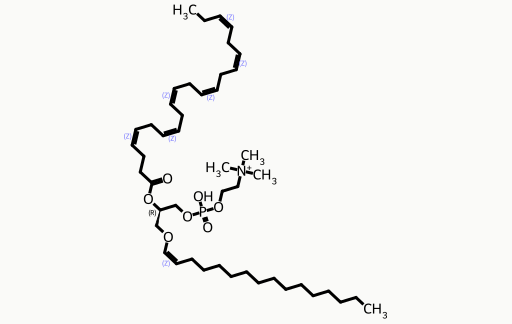 CC/C=C\C/C=C\C/C=C\C/C=C\C/C=C\C/C=C\CCC(=O)O[C@H](CO/C=C\CCCCCCCCCCCCCC)COP(=O)(O)OCC[N+](C)(C)C